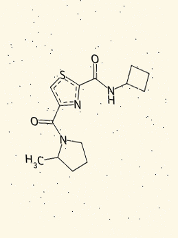 CC1CCCN1C(=O)c1csc(C(=O)NC2CCC2)n1